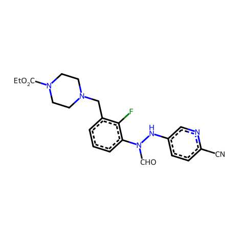 CCOC(=O)N1CCN(Cc2cccc(N(C=O)Nc3ccc(C#N)nc3)c2F)CC1